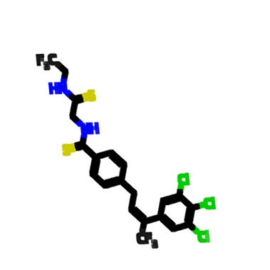 FC(F)(F)CNC(=S)CNC(=S)c1ccc(CC=C(c2cc(Cl)c(Cl)c(Cl)c2)C(F)(F)F)cc1